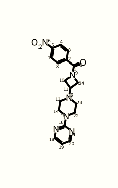 O=C(c1ccc([N+](=O)[O-])cc1)N1CC(N2CCN(c3ncccn3)CC2)C1